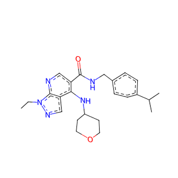 CCn1ncc2c(NC3CCOCC3)c(C(=O)NCc3ccc(C(C)C)cc3)cnc21